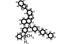 CC1(C)c2ccccc2-c2ccc(N(c3ccc(-c4ccc(-c5ccccc5)cc4)cc3)c3cc4sc5ccc(-c6nc7ccccc7o6)cc5c4c4ccccc34)cc21